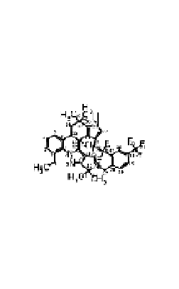 CCc1cccc2c1-n1nc3c(c1C1(C)C2=CC(C)(C)c2[nH]ccc21)CN(Cc1ccc(C(F)(F)F)cc1C(F)(F)F)C3(C)C